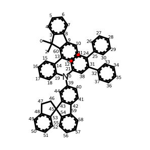 CC1(C)c2ccccc2-c2cccc(-c3ccccc3N(c3ccc(-c4ccccc4)c(-c4ccccc4)c3)c3ccc4c(c3)C3(CCc5ccccc53)c3ccccc3-4)c21